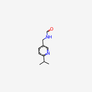 CC(C)c1ccc(CNC=O)cn1